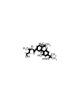 CCCCCCC(C)(C)c1cc(O)c2c(c1)OC(C)(C)[C@@H]1CC=C(C(=O)NC(C)CCO)C[C@@H]21